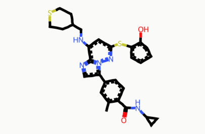 Cc1cc(-c2cnc3c(NCC4CCSCC4)cc(Sc4ccccc4O)nn23)ccc1C(=O)NC1CC1